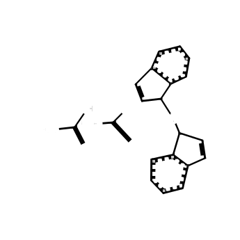 C1=C[CH]([V+2][CH]2C=Cc3ccccc32)c2ccccc21.C=C(O)C(=O)[O-].C=C(O)C(=O)[O-]